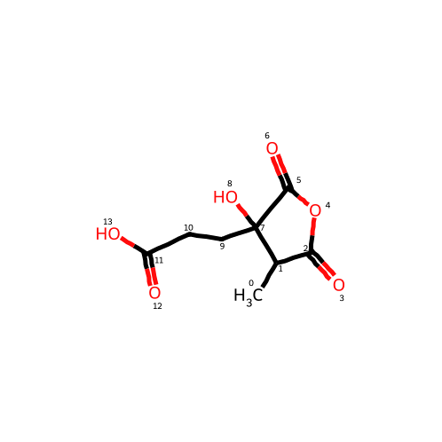 CC1C(=O)OC(=O)C1(O)CCC(=O)O